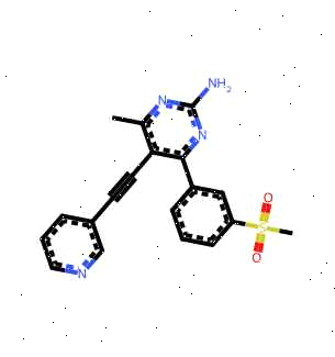 Cc1nc(N)nc(-c2cccc(S(C)(=O)=O)c2)c1C#Cc1cccnc1